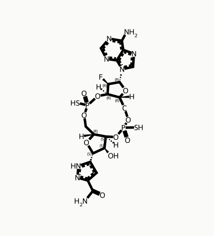 NC(=O)c1cc([C@@H]2O[C@@H]3COP(=O)(S)O[C@H]4[C@@H](F)[C@H](n5cnc6c(N)ncnc65)O[C@@H]4COP(=O)(S)O[C@H]3[C@H]2O)[nH]n1